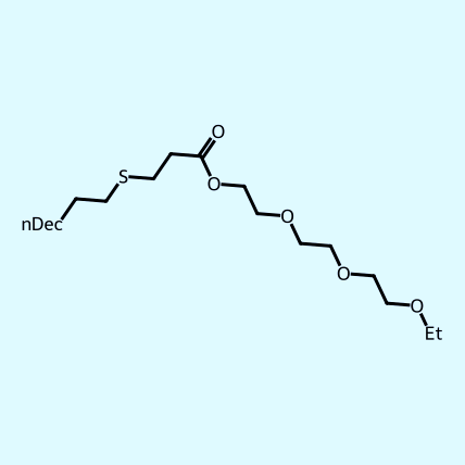 CCCCCCCCCCCCSCCC(=O)OCCOCCOCCOCC